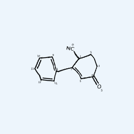 N#CC1CCC(=O)C=C1c1ccccc1